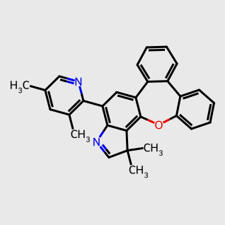 Cc1cnc(-c2cc3c(c4c2N=CC4(C)C)Oc2ccccc2-c2ccccc2-3)c(C)c1